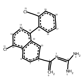 C=C(N=C(N)N)c1ccc2c(Cl)cnc(-c3ccccc3Cl)c2c1